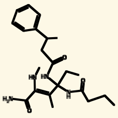 CCCC(=O)NC(CC)(NC(=O)CC(C)c1ccccc1)C(C)=C(NC)C(N)=O